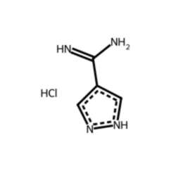 Cl.N=C(N)c1cn[nH]c1